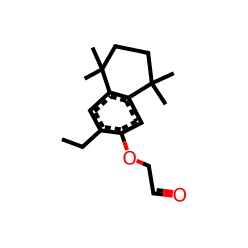 CCc1cc2c(cc1OCC=O)C(C)(C)CCC2(C)C